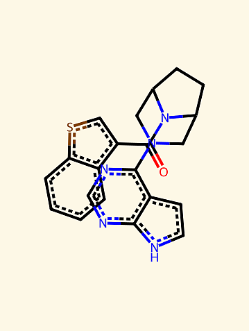 O=C(c1csc2ccccc12)N1C2CCC1CN(c1ncnc3[nH]ccc13)C2